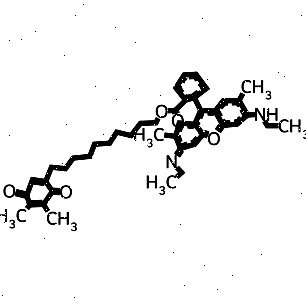 CC/N=c1\cc2oc3cc(NCC)c(C)cc3c(-c3ccccc3C(=O)OCCCCCCCCCCC3=CC(=O)C(C)=C(C)C3=O)c-2cc1C